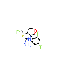 NC1=NC2(c3ccc(F)cc3F)COCCC2C(CF)S1